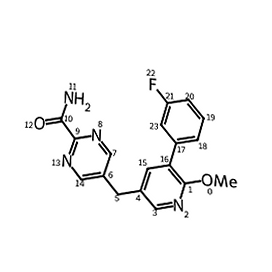 COc1ncc(Cc2cnc(C(N)=O)nc2)cc1-c1cccc(F)c1